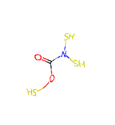 O=C(OS)N(S)S